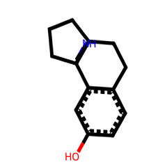 Oc1ccc2c(c1)C13CCCC1(CC2)CNCC3